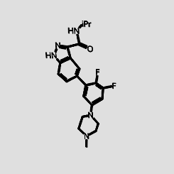 CC(C)NC(=O)c1n[nH]c2ccc(-c3cc(N4CCN(C)CC4)cc(F)c3F)cc12